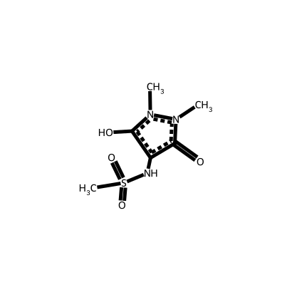 Cn1c(O)c(NS(C)(=O)=O)c(=O)n1C